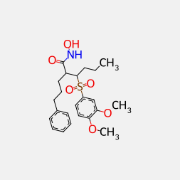 CCCC(C(CCCc1ccccc1)C(=O)NO)S(=O)(=O)c1ccc(OC)c(OC)c1